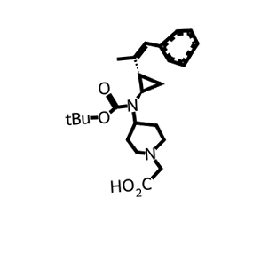 CC(=Cc1ccccc1)[C@@H]1C[C@H]1N(C(=O)OC(C)(C)C)C1CCN(CC(=O)O)CC1